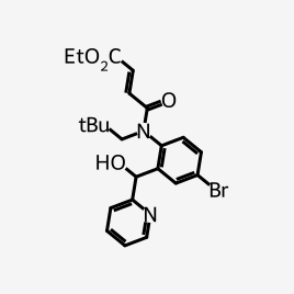 CCOC(=O)C=CC(=O)N(CC(C)(C)C)c1ccc(Br)cc1C(O)c1ccccn1